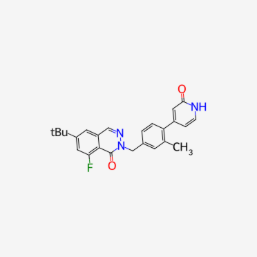 Cc1cc(Cn2ncc3cc(C(C)(C)C)cc(F)c3c2=O)ccc1-c1cc[nH]c(=O)c1